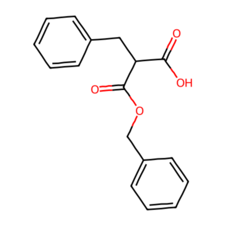 O=C(O)C(Cc1ccccc1)C(=O)OCc1ccccc1